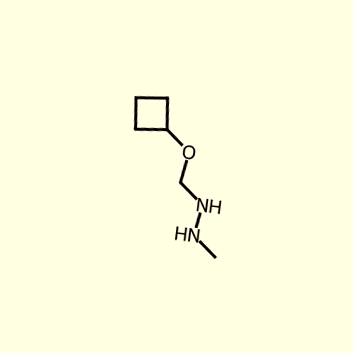 CNNCOC1CCC1